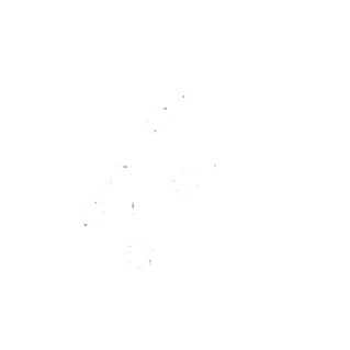 O=C(/C=C/c1cccc2c1C(C(=O)OC(Cc1ccc(O)c(O)c1)C(=O)O)C(c1ccc(O)c(O)c1)O2)OC(Cc1ccc(O)c(O)c1)C(=O)O